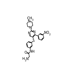 CN1CCN(c2ncc(Sc3cccc(NC(=O)CN)c3)c(-c3cccc([N+](=O)[O-])c3)n2)CC1